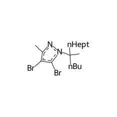 CCCCCCCC(C)(CCCC)n1nc(C)c(Br)c1Br